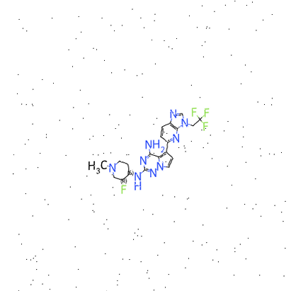 CN1CC[C@H](Nc2nc(N)c3c(-c4ccc5ncn(CC(F)(F)F)c5n4)ccn3n2)[C@H](F)C1